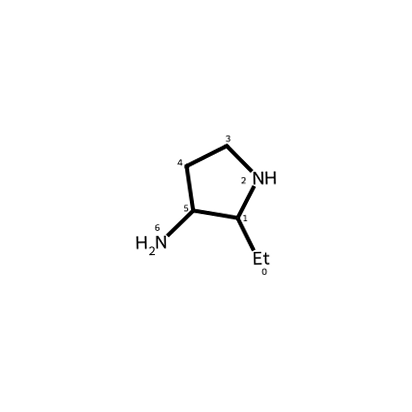 CCC1NCCC1N